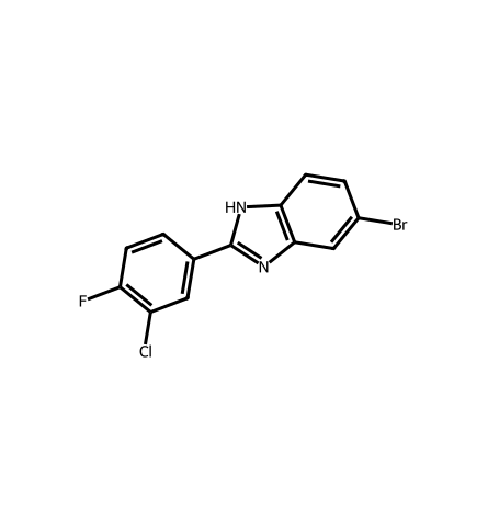 Fc1ccc(-c2nc3cc(Br)ccc3[nH]2)cc1Cl